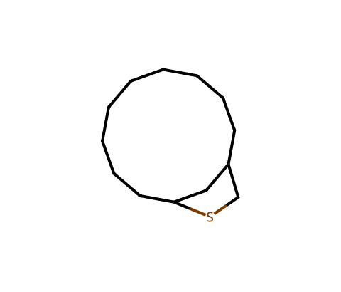 C1CCCCC2CSC(CCCC1)C2